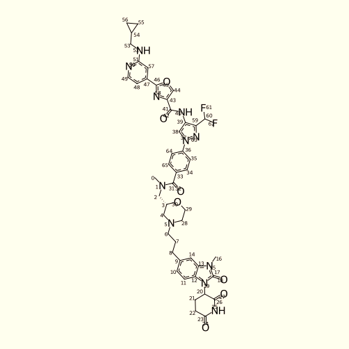 CN(C[C@H]1CN(CCCc2ccc3c(c2)n(C)c(=O)n3C2CCC(=O)NC2=O)CCO1)C(=O)c1ccc(-n2cc(NC(=O)c3coc(-c4ccnc(NCC5CC5)c4)n3)c(C(F)F)n2)cc1